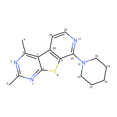 Cc1nc(C)c2c(n1)sc1c(N3CCCCC3)nccc12